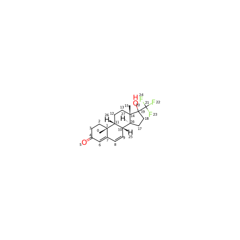 C[C@]12CCC(=O)C=C1C=C[C@@H]1[C@H]2CC[C@@]2(C)[C@H]1CCC2(O)C(F)(F)F